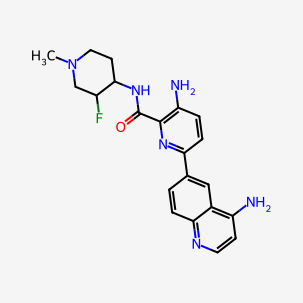 CN1CCC(NC(=O)c2nc(-c3ccc4nccc(N)c4c3)ccc2N)C(F)C1